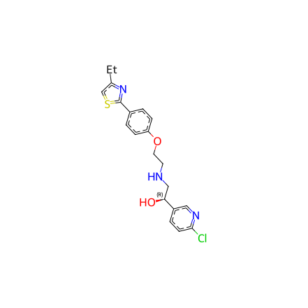 CCc1csc(-c2ccc(OCCNC[C@H](O)c3ccc(Cl)nc3)cc2)n1